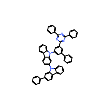 c1ccc(-c2cc(-c3nc(-c4ccccc4)nc(-c4ccccc4)n3)cc(-n3c4ccccc4c4ccc(-n5c6ccccc6c6ccc(-c7ccccc7)cc65)cc43)c2)cc1